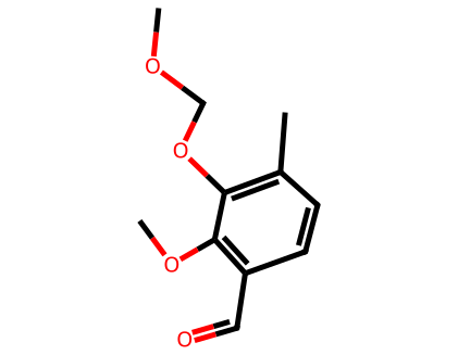 COCOc1c(C)ccc(C=O)c1OC